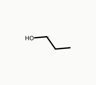 CC[CH]O